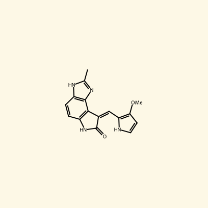 COc1cc[nH]c1C=C1C(=O)Nc2ccc3[nH]c(C)nc3c21